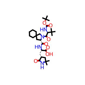 CC1(C)C[C@@H](C[C@H](NC(=O)[C@@H]2CC3(CCCCC3)CN2C(=O)[C@@H](NC(=O)OC(C)(C)C)C(C)(C)C)C(=O)O)C(=O)N1